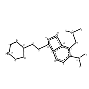 CN(C)Cc1c(N(C)C)ccc2c(CCC3CCNCC3)noc12